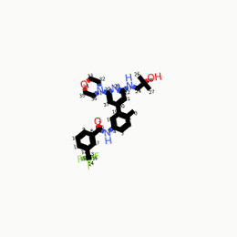 Cc1ccc(NC(=O)c2cccc(C(F)(F)F)c2)cc1-c1cc(NCC(C)(C)O)nc(N2CCOCC2)c1